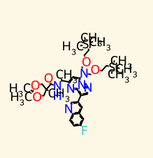 CC(NC(=O)C1(C)COC(C)(C)OC1)c1cc(N(COCC[Si](C)(C)C)COCC[Si](C)(C)C)n2ncc(-c3cnc4ccc(F)cc4c3)c2n1